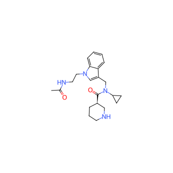 CC(=O)NCCn1cc(CN(C(=O)[C@@H]2CCCNC2)C2CC2)c2ccccc21